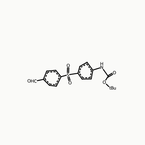 CC(C)(C)OC(=O)Nc1ccc(S(=O)(=O)c2ccc(C=O)cc2)cc1